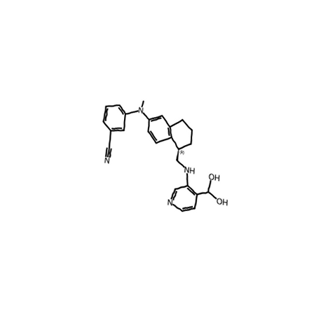 CN(c1cccc(C#N)c1)c1ccc2c(c1)CCC[C@H]2CNc1cnccc1C(O)O